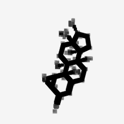 CC[C@@H]1CC[C@H]2[C@@H]3CCC4=CC(=O)C5OC5[C@]4(C)[C@H]3CC[C@]12C